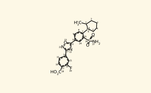 CC1CCCCN1c1ccc(-c2nc(-c3ccc(C(=O)O)c(F)c3)no2)cc1S(N)(=O)=O